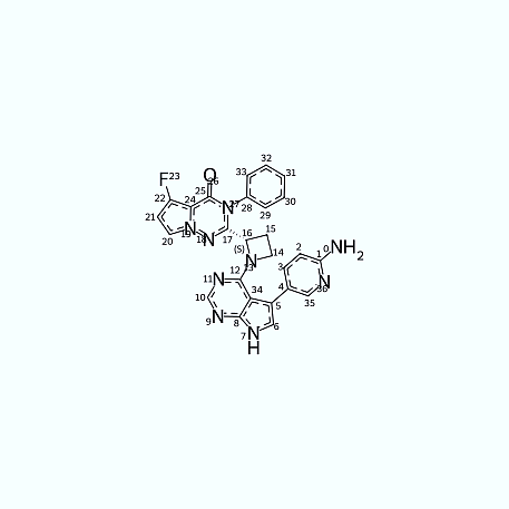 Nc1ccc(-c2c[nH]c3ncnc(N4CC[C@H]4c4nn5ccc(F)c5c(=O)n4-c4ccccc4)c23)cn1